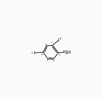 Sc1ccc(I)cc1I